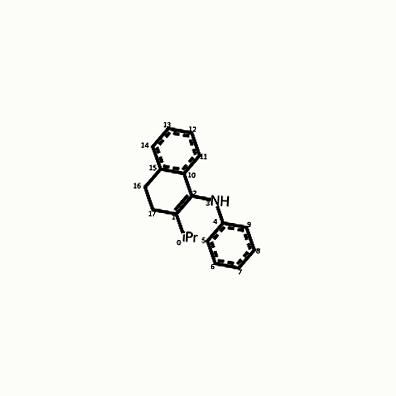 CC(C)C1=C(Nc2ccccc2)c2ccccc2CC1